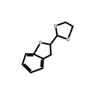 c1ccc2c(c1)CC(C1OCCO1)O2